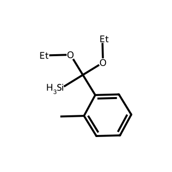 CCOC([SiH3])(OCC)c1ccccc1C